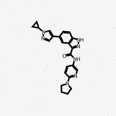 O=C(Nc1ccc(N2CCCC2)nc1)c1n[nH]c2ccc(-c3cnn(C4CC4)c3)cc12